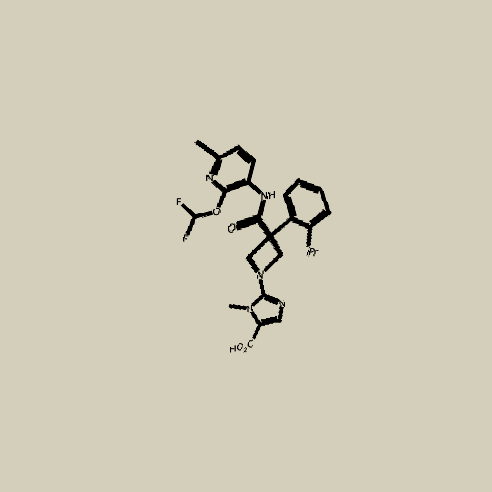 Cc1ccc(NC(=O)C2(c3ccccc3C(C)C)CN(c3ncc(C(=O)O)n3C)C2)c(OC(F)F)n1